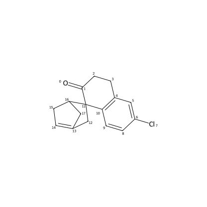 O=C1CCc2cc(Cl)ccc2C12CC1=CCC2C1